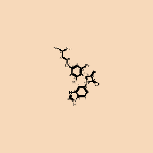 C=C1C(=O)N(c2ccc3[nH]cnc3c2)[C@@H]1c1c(F)cc(OCCC(F)F)cc1F